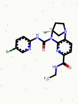 O=C(NCC(F)(F)F)c1ccc2c(n1)N(C(=O)Nc1ccc(Br)cn1)[C@H]1CCN2C1